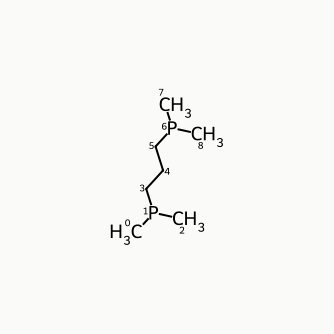 CP(C)CCCP(C)C